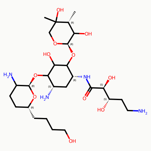 C[C@@H]1C(O)[C@@H](OC2C(O)C(O[C@H]3O[C@H](CCCCO)CCC3N)[C@@H](N)C[C@H]2NC(=O)[C@@H](O)[C@@H](O)CCN)OCC1(C)O